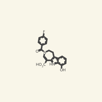 O=C(O)C1=CN(C(=O)c2ccc(F)cc2)CCc2c1[nH]c1c(O)cccc21